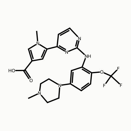 CN1CCN(c2ccc(OC(F)(F)F)c(Nc3nccc(-c4cc(C(=O)O)cn4C)n3)c2)CC1